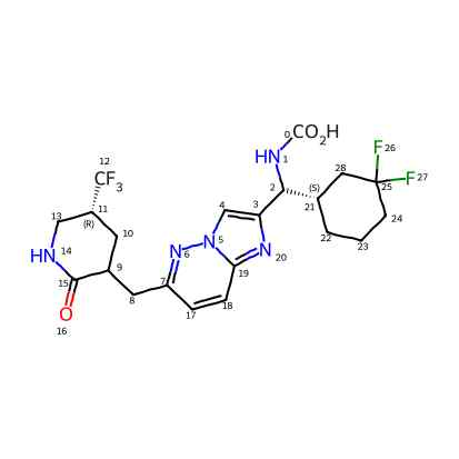 O=C(O)NC(c1cn2nc(CC3C[C@@H](C(F)(F)F)CNC3=O)ccc2n1)[C@H]1CCCC(F)(F)C1